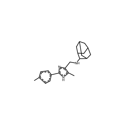 Cc1ccc(-c2nc(CNC3C4CC5CC(C4)CC3C5)c(C)[nH]2)cc1